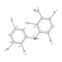 Cc1c(F)cc(F)c(Bc2cc(F)cc(F)c2F)c1F